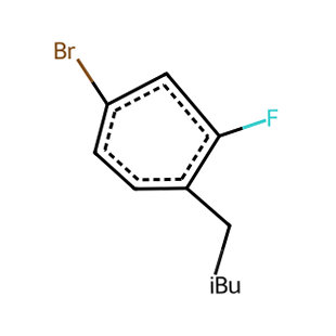 CCC(C)Cc1ccc(Br)cc1F